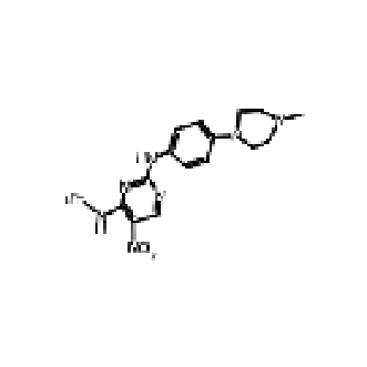 CC(C)Nc1nc(Nc2ccc(N3CCN(C)CC3)cc2)ncc1[N+](=O)[O-]